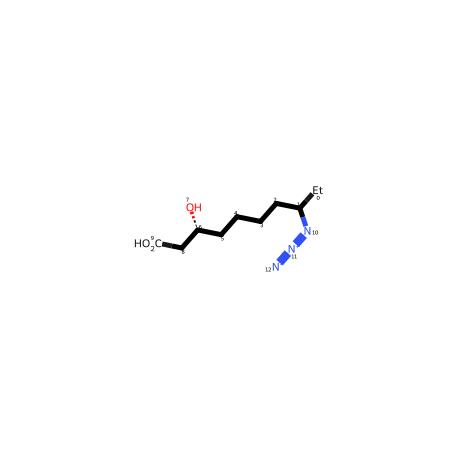 CCC(CCCC[C@@H](O)CC(=O)O)N=[N+]=[N-]